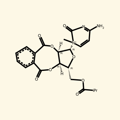 CC(C)C(=O)OC[C@H]1O[C@@H]([N+]2(C)C=CC(N)=NC2=O)[C@@H]2OC(=O)c3ccccc3C(=O)O[C@@H]21